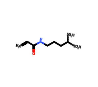 C=CC(=O)NCCCC(S(=O)(=O)O)S(=O)(=O)O